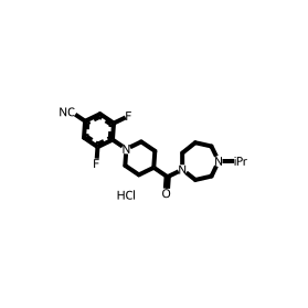 CC(C)N1CCCN(C(=O)C2CCN(c3c(F)cc(C#N)cc3F)CC2)CC1.Cl